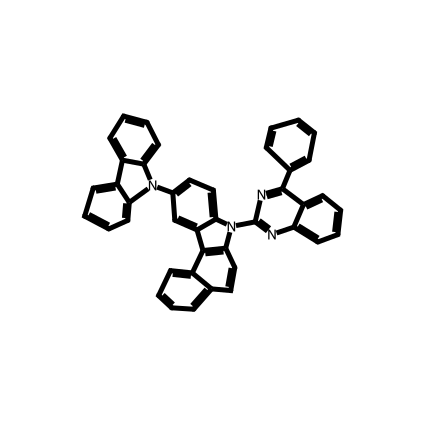 c1ccc(-c2nc(-n3c4ccc(-n5c6ccccc6c6ccccc65)cc4c4c5ccccc5ccc43)nc3ccccc23)cc1